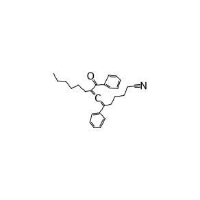 CCCCCCC(=C=C(CCCCC#N)c1ccccc1)C(=O)c1ccccc1